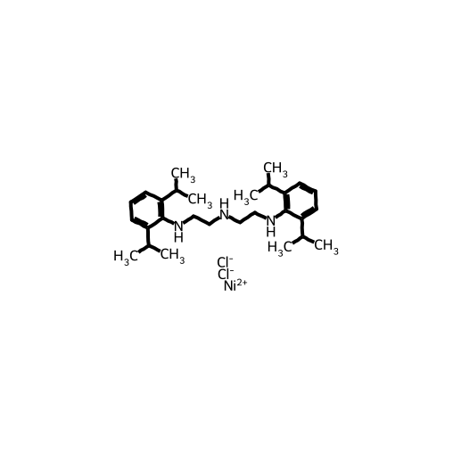 CC(C)c1cccc(C(C)C)c1NCCNCCNc1c(C(C)C)cccc1C(C)C.[Cl-].[Cl-].[Ni+2]